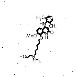 COc1ccc2c(Nc3c(C)cncc3C)cc(=O)[nH]c2c1OCCCCCCN(C)CCO